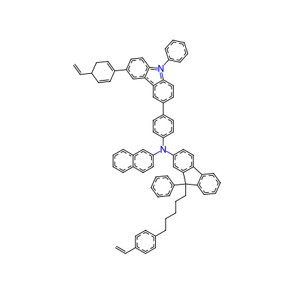 C=Cc1ccc(CCCCCC2(c3ccccc3)c3ccccc3-c3ccc(N(c4ccc(-c5ccc6c(c5)c5cc(C7=CCC(C=C)C=C7)ccc5n6-c5ccccc5)cc4)c4ccc5ccccc5c4)cc32)cc1